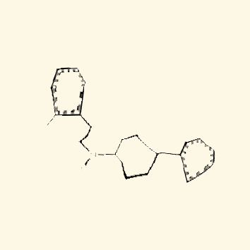 CN(CCc1ccccc1O)C1CCC(c2ccccc2)CC1